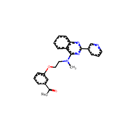 COC(=O)c1cccc(OCCN(C)c2nc(-c3cccnc3)nc3ccccc23)c1